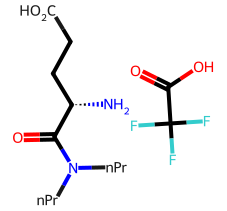 CCCN(CCC)C(=O)[C@@H](N)CCC(=O)O.O=C(O)C(F)(F)F